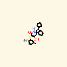 Cc1ccc(C(C)C)c(SC2=C(O)CC(CCc3ccccc3)(c3ccccc3)NC2=O)c1